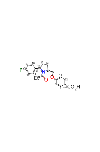 CCC(=O)N1[C@H](COc2ccc(C(=O)O)cc2)CC[C@@H]1c1ccc(F)cc1